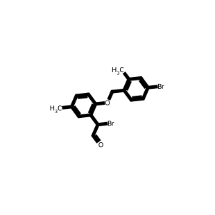 Cc1ccc(OCc2ccc(Br)cc2C)c(C(Br)C=O)c1